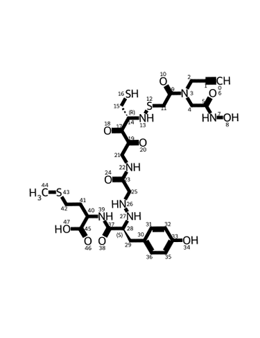 C#CCN(CC(=O)NO)C(=O)CSN[C@@H](CS)C(=O)C(=O)CNC(=O)CNN[C@@H](Cc1ccc(O)cc1)C(=O)NC(CCSC)C(=O)O